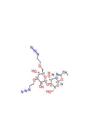 CC1=N[C@H]2[C@@H](O1)O[C@H](CO)[C@@H](O[C@@H]1O[C@H](COCCN=[N+]=[N-])[C@@H](O)[C@H](OCCN=[N+]=[N-])[C@@H]1O)[C@@H]2O